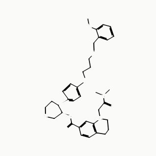 COc1ccccc1COCCCOc1ccc([C@@H]2CCNC[C@@H]2NC(=O)c2ccc3c(c2)N(CC(=O)N(C)C)CCC3)cc1